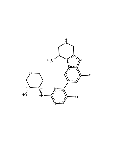 CC1CNCc2nc3c(F)cc(-c4nc(N[C@@H]5CCOC[C@H]5O)ncc4Cl)cc3n21